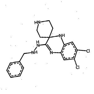 Clc1cc2c(cc1Cl)NC1(CCNCC1)C(NNCc1ccccc1)=N2